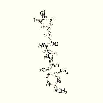 Cc1ncc(C(=O)NC23CC(NC(=O)COc4ccc(Cl)c(F)c4)(C2)C3)c(C)n1